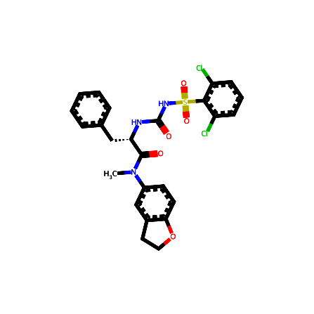 CN(C(=O)[C@H](Cc1ccccc1)NC(=O)NS(=O)(=O)c1c(Cl)cccc1Cl)c1ccc2c(c1)CCO2